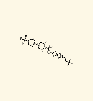 C[C@@H]1CN(c2ncc(C(F)(F)F)cn2)C[C@H](C)N1C(=O)OC1CC2(C1)CN(CCC(C)(C)C)C2